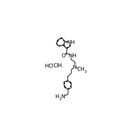 CN(CCCc1ccc(CN)cc1)CCNC(=O)c1c[nH]c2ccccc12.Cl.Cl